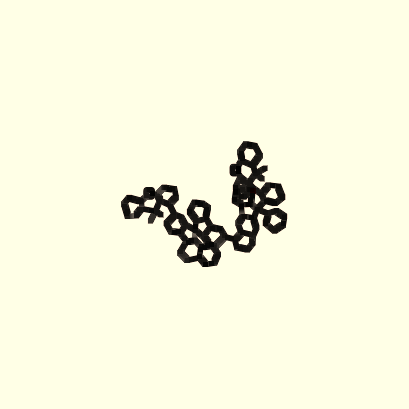 CC1(C)c2ccccc2Oc2cccc(-c3ccc4c(c3)C3(c5ccccc5-c5cc(-c6cccc7cc8c(cc67)-c6ccccc6C8(c6ccccc6)c6ccccc6-c6cccc7c6C(C)(C)c6ccccc6O7)ccc53)c3c-4ccc4ccccc34)c21